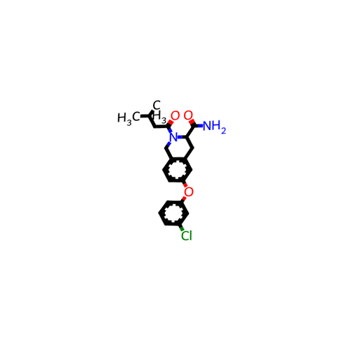 CC(C)CC(=O)N1Cc2ccc(Oc3cccc(Cl)c3)cc2CC1C(N)=O